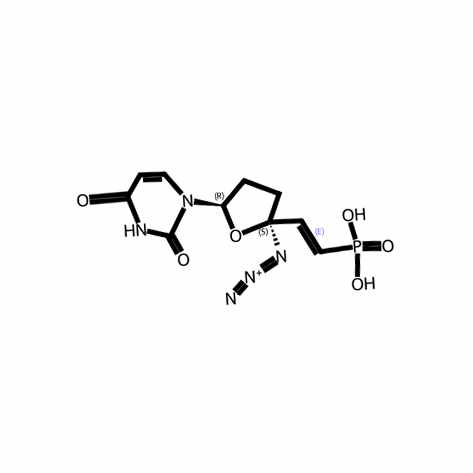 [N-]=[N+]=N[C@@]1(/C=C/P(=O)(O)O)CC[C@H](n2ccc(=O)[nH]c2=O)O1